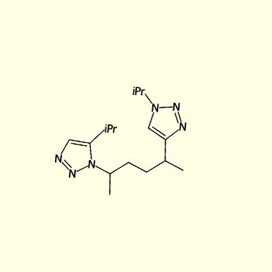 CC(C)c1cnnn1C(C)CCC(C)c1cn(C(C)C)nn1